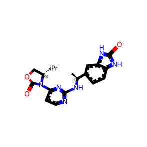 CC(C)[C@H]1COC(=O)N1c1ccnc(N[C@@H](C)c2ccc3[nH]c(=O)[nH]c3c2)n1